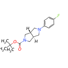 CC(C)(C)OC(=O)N1C[C@@H]2CN(c3ccc(F)cc3)C[C@H]2C1